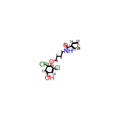 O=C(NCCCCOc1c(Cl)cc(O)cc1Cl)c1ccsc1